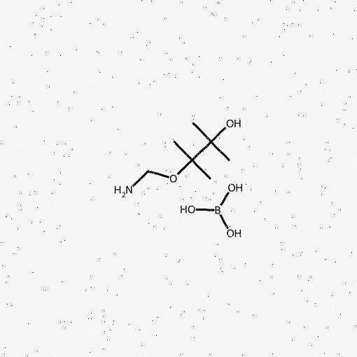 CC(C)(O)C(C)(C)OCN.OB(O)O